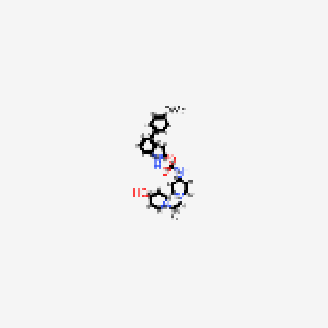 COc1ccc(-c2cccc3[nH]c(OC(=O)NC4CCN(C[C@H](C)N5CCC(O)CC5)CC4)cc23)cc1